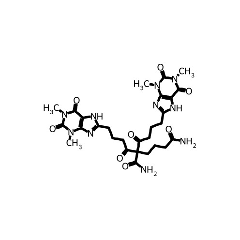 Cn1c(=O)c2[nH]c(CCCC(=O)C(CCCC(N)=O)(C(N)=O)C(=O)CCCc3nc4c([nH]3)c(=O)n(C)c(=O)n4C)nc2n(C)c1=O